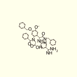 COc1cc(C(Nc2ccc(C(=N)N)cc2)C(=O)NCc2ccccc2)c(N(CC(=O)O)C(=O)c2ccccc2)cc1OCc1ccccc1